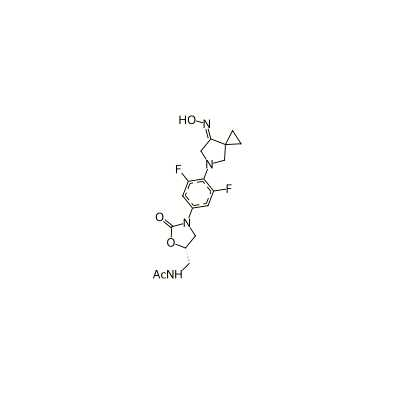 CC(=O)NC[C@H]1CN(c2cc(F)c(N3CC(=NO)C4(CC4)C3)c(F)c2)C(=O)O1